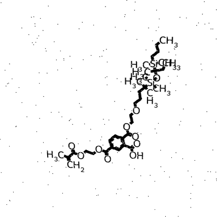 C=C(C)C(=O)OCCOC(=O)c1ccc(C(=O)OCCOCCCC(C)(C)[Si](C)(C)OC(C)(CC)[Si](C)(C)CCCC)c(C(=O)O)c1